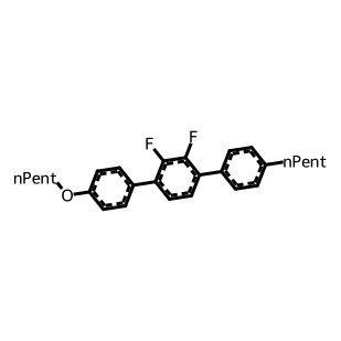 CCCCCOc1ccc(-c2ccc(-c3ccc(CCCCC)cc3)c(F)c2F)cc1